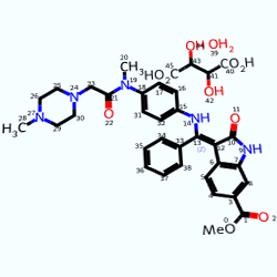 COC(=O)c1ccc2c(c1)NC(=O)/C2=C(\Nc1ccc(N(C)C(=O)CN2CCN(C)CC2)cc1)c1ccccc1.O.O=C(O)C(O)C(O)C(=O)O